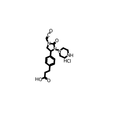 Cl.O=C=CN1CC(c2ccc(CCC(=O)O)cc2)N(N2CCNCC2)C1=O